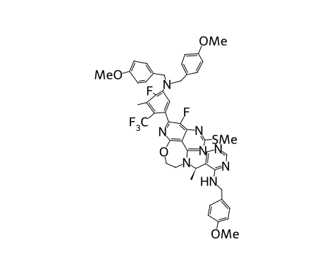 COc1ccc(CNc2ncncc2[C@@H](C)N2CCOc3nc(-c4cc(N(Cc5ccc(OC)cc5)Cc5ccc(OC)cc5)c(F)c(C)c4C(F)(F)F)c(F)c4nc(SC)nc2c34)cc1